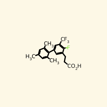 Cc1cc(C)c(-c2cc(CCC(=O)O)c(F)c(C(F)(F)F)c2)c(C)c1